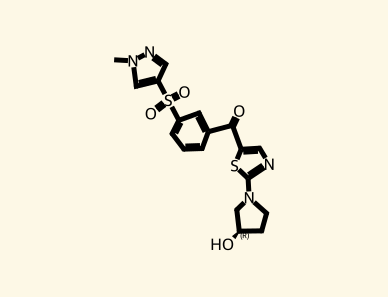 Cn1cc(S(=O)(=O)c2cccc(C(=O)c3cnc(N4CC[C@@H](O)C4)s3)c2)cn1